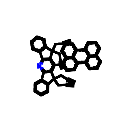 C#CCC1(CC#C)c2ccccc2-c2nc3c(c(-c4ccc5c6cccc7cccc(c8cccc4c85)c76)c21)C(CC#C)(CC#C)c1ccccc1-3